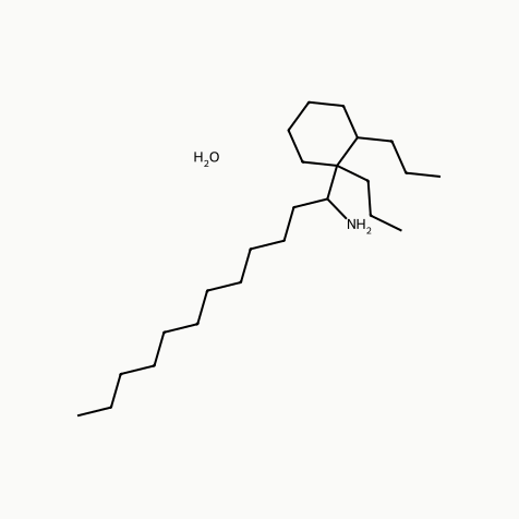 CCCCCCCCCCCC(N)C1(CCC)CCCCC1CCC.O